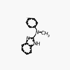 CN(c1cc[c]cc1)c1nc2ccccc2[nH]1